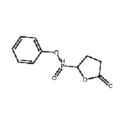 O=C1CCC([PH](=O)Oc2ccccc2)O1